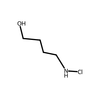 OCCCCNCl